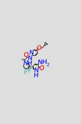 CC(C(=O)Nc1ccc(OCC2CC2)cn1)N1CCC(F)(F)[C@@H](c2c[nH]c(=O)c(N)c2)C1